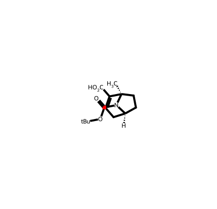 CC(C)(C)OC(=O)N1[C@@H]2CC=C(C(=O)O)[C@@]1(C)CC2